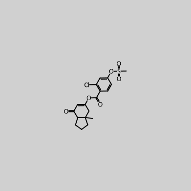 CC12CCCC1C(=O)C=C(OC(=O)c1ccc(OS(C)(=O)=O)cc1Cl)C2